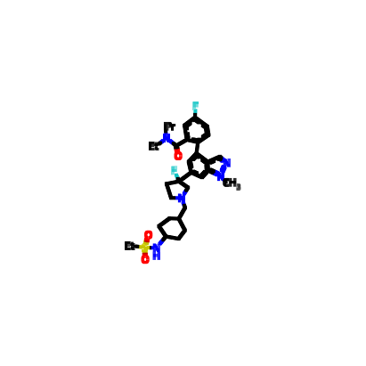 CCN(C(=O)c1cc(F)ccc1-c1cc(C2(F)CCN(CC3CCC(NS(=O)(=O)CC)CC3)C2)cc2c1cnn2C)C(C)C